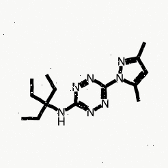 CCC(CC)(CC)Nc1nnc(-n2nc(C)cc2C)nn1